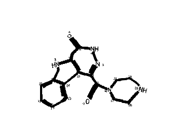 O=C(c1n[nH]c(=O)c2[nH]c3ccccc3c12)N1CCNCC1